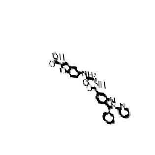 C[C@H](NC(=O)c1ccc2c(C3CCCCC3)n(-c3ccccn3)nc2c1)C(=O)Nc1ccc2oc(C(=O)O)cc2c1